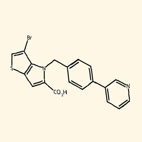 O=C(O)c1cc2scc(Br)c2n1Cc1ccc(-c2cccnc2)cc1